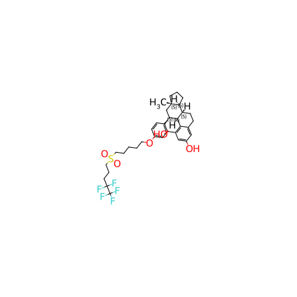 C[C@@]12CCC[C@H]1[C@@H]1CCc3cc(O)cc(CO)c3[C@H]1[C@@H](c1ccc(OCCCCCS(=O)(=O)CCCC(F)(F)C(F)(F)F)cc1)C2